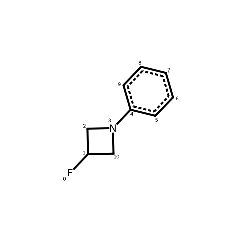 FC1CN(c2cc[c]cc2)C1